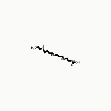 CCCNCCCCNCCCNCCNC(=O)O